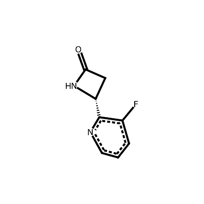 O=C1C[C@H](c2ncccc2F)N1